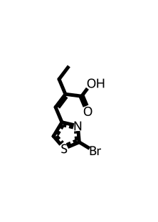 CCC(=Cc1csc(Br)n1)C(=O)O